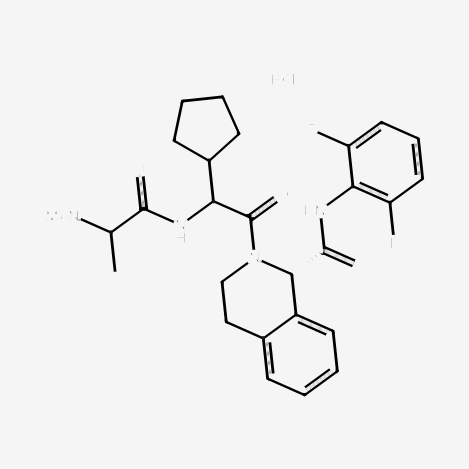 CNC(C)C(=O)NC(C(=O)N1CCc2ccccc2[C@H]1C(=O)Nc1c(F)cccc1F)C1CCCC1.Cl